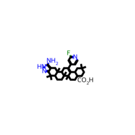 CC1(C)CCC2(C(=O)O)CCC3(C)C(=C(c4ccnc(F)c4)CC4C5(C)Cc6c(n[nH]c6N)C(C)(C)C5CCC43C)C2C1